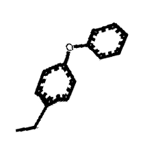 C[CH]c1ccc(Oc2ccccc2)cc1